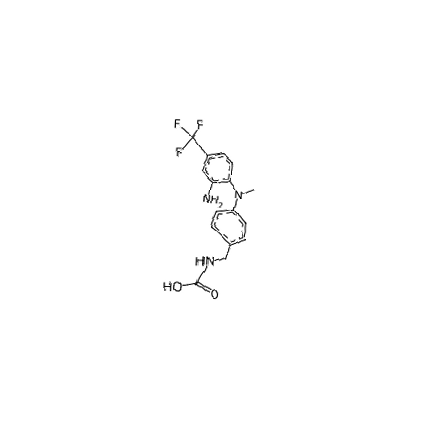 CN(c1ccc(CNC(=O)O)cc1)c1ccc(C(F)(F)F)cc1N